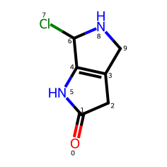 O=C1CC2=C(N1)C(Cl)NC2